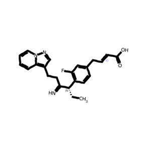 CC[C@H](C(=N)CCc1cnn2ccccc12)c1ccc(C/C=C/C(=O)O)cc1F